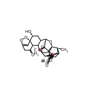 C[C@@]12CC3OC(=O)[C@@H]1CO[C@]14O[C@]5(C2C1=O)[C@@](O)(CCC1C4C[C@H](O)[C@@]24C=C(CC(=O)[C@]12C)OO4)C(=O)O[C@@]35C